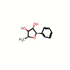 C[C@@H]1O[C@H](c2ccccc2)[C@H](O)C1O